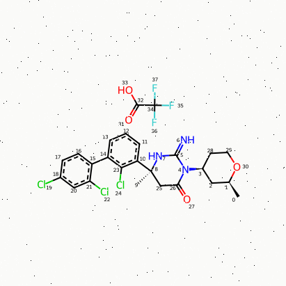 C[C@H]1C[C@@H](N2C(=N)N[C@](C)(c3cccc(-c4ccc(Cl)cc4Cl)c3Cl)CC2=O)CCO1.O=C(O)C(F)(F)F